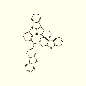 c1ccc2c(c1)oc1cc(N(c3ccc4c(c3)oc3ccccc34)c3cccc4c3n3c5ccccc5c5c6ccccc6n4c53)ccc12